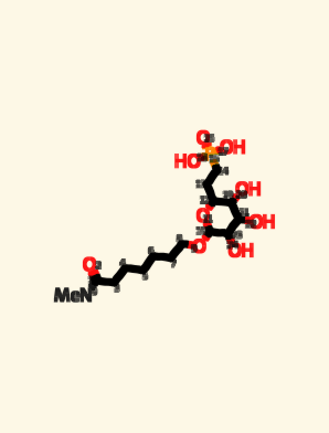 CNC(=O)CCCCCCOC1OC(CCP(=O)(O)O)C(O)C(O)C1O